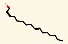 CCCCCCC=CCCCCC/C=C\C=O